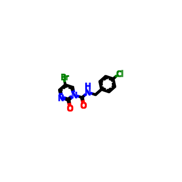 O=C(NCc1ccc(Cl)cc1)n1cc(Br)cnc1=O